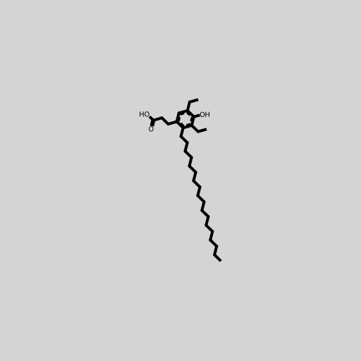 CCCCCCCCCCCCCCCCCCc1c(CCC(=O)O)cc(CC)c(O)c1CC